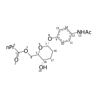 CCCC(=O)OCC1O[C@H](Oc2ccc(NC(C)=O)cc2)CC[C@@H]1O